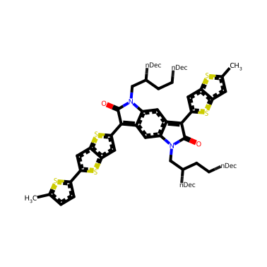 CCCCCCCCCCCCC(CCCCCCCCCC)CN1C(=O)C(c2cc3sc(C)cc3s2)=c2cc3c(cc21)=C(c1cc2sc(-c4ccc(C)s4)cc2s1)C(=O)N3CC(CCCCCCCCCC)CCCCCCCCCCCC